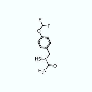 NC(=O)N(S)Cc1ccc(OC(F)F)cc1